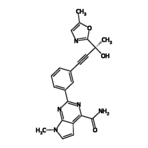 Cc1cnc([C@@](C)(O)C#Cc2cccc(-c3nc(C(N)=O)c4ccn(C)c4n3)c2)o1